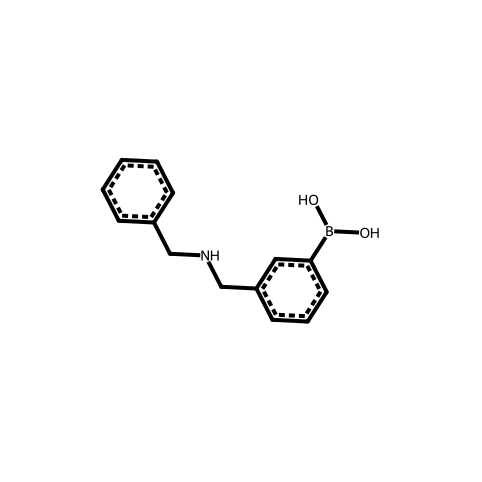 OB(O)c1cccc(CNCc2ccccc2)c1